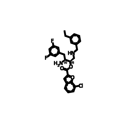 CCc1cccc(CNC[C@@H](OC(=O)c2cc3cccc(Cl)c3o2)[C@@H](N)Cc2cc(F)cc(F)c2)c1